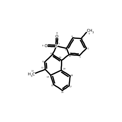 Cc1ccc2c(c1)S(=O)(=O)c1cc(C)c3ccccc3c1-2